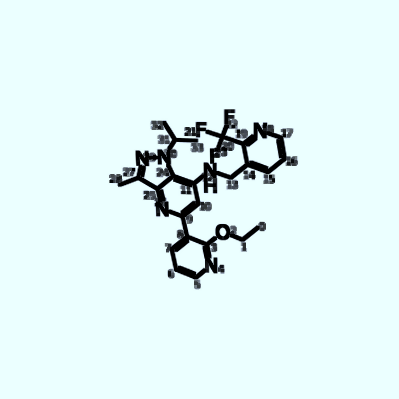 CCOc1ncccc1-c1cc(NCc2cccnc2C(F)(F)F)c2c(n1)c(C)nn2C(C)C